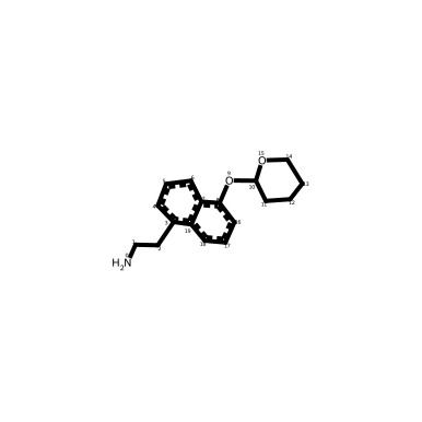 NCCc1cccc2c(OC3CCCCO3)cccc12